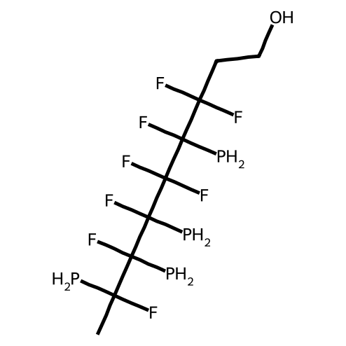 CC(F)(P)C(F)(P)C(F)(P)C(F)(F)C(F)(P)C(F)(F)CCO